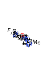 COc1ncnc(C2CC2)c1-c1nc2n(n1)CCC(=O)N2C(C)c1ccc(-c2nc(C(F)(F)F)cn2C)cc1